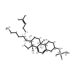 CC(C)=CCC[C@@H](CCCC(C)C)[C@H]1CC[C@H]2C3=CC=C4CC(O[Si](C)(C)C(C)(C)C)CC[C@]4(C)[C@H]3CC[C@]12C